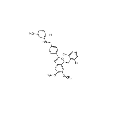 COc1ccc([C@H](Cc2c(Cl)cncc2Cl)OC(=O)c2ccc(CNc3cc(O)ccc3Cl)cc2)cc1OC